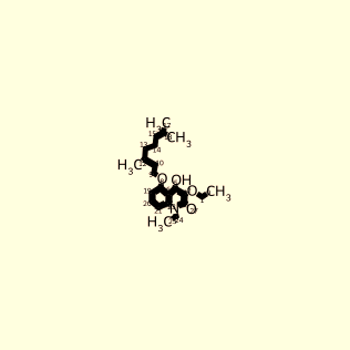 CCOc1c(O)c2c(OC/C=C(\C)CCC=C(C)C)cccc2n(CC)c1=O